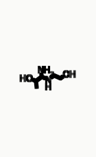 CC(O)C(N)NCCO